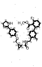 COC(=O)c1c(F)cccc1-c1ccc(CNC(=O)[C@@H]2C[C@H]2COc2ccc(C3=NCCN3)cc2)c(F)c1